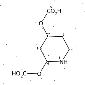 O=C(O)OC1CCNC(OC(=O)O)C1